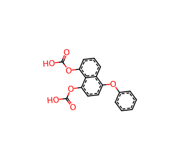 O=C(O)Oc1cccc2c(Oc3ccccc3)ccc(OC(=O)O)c12